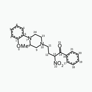 COc1ccccc1N1CCN(CCC(C(=O)c2ccccc2)[N+](=O)[O-])CC1